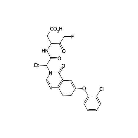 CCC(C(=O)NC(CC(=O)O)C(=O)CF)n1cnc2ccc(Oc3ccccc3Cl)cc2c1=O